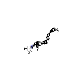 C/C=C/CCc1ccc(OCc2ccc(C3CCC4CC(C5CCC(CCC)CC5)CCC4C3)cc2)c(F)c1F